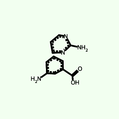 Nc1cccc(C(=O)O)c1.Nc1ncccn1